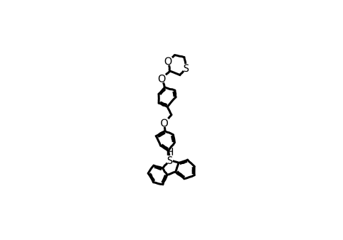 c1ccc2c(c1)-c1ccccc1[SH]2c1ccc(OCc2ccc(OC3CSCCO3)cc2)cc1